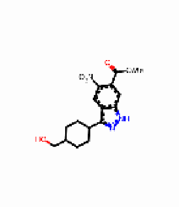 COC(=O)c1cc2[nH]nc(C3CCC(CO)CC3)c2cc1[N+](=O)[O-]